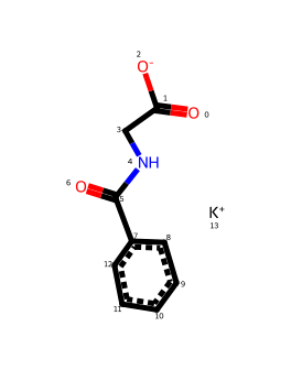 O=C([O-])CNC(=O)c1ccccc1.[K+]